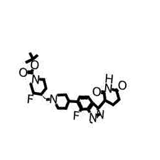 Cn1nc(C2CCC(=O)NC2=O)c2ccc(C3CCN(C[C@H]4CCN(C(=O)OC(C)(C)C)C[C@H]4F)CC3)c(F)c21